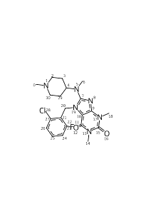 CN1CCC(N(C)c2nc3c(c(=O)n(C)c(=O)n3C)n2Cc2c(F)cccc2Cl)CC1